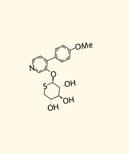 COc1ccc(-c2ccncc2O[C@@H]2SC[C@@H](O)[C@H](O)[C@H]2O)cc1